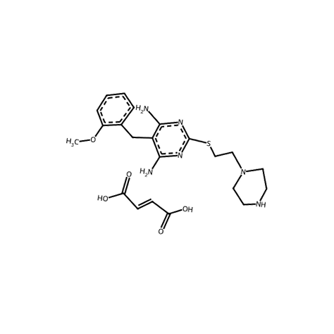 COc1ccccc1Cc1c(N)nc(SCCN2CCNCC2)nc1N.O=C(O)C=CC(=O)O